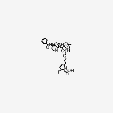 CC1(C)O[C@@H]2[C@H](O1)[C@@H](COCCCc1ccc(F)c(/C=N\O)n1)O[C@H]2n1cnc2c(NC(=O)c3ccccc3)ncnc21